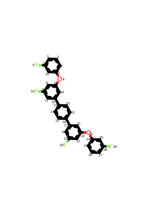 Fc1cccc(Oc2cc(F)cc(-c3ccc(-c4cc(F)cc(Oc5cccc(F)c5)c4)cc3)c2)c1